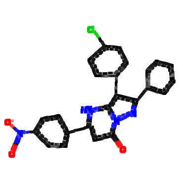 O=c1cc(-c2ccc([N+](=O)[O-])cc2)[nH]c2c(-c3ccc(Cl)cc3)c(-c3ccccc3)nn12